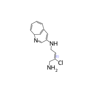 NC/C(Cl)=C\CNC1=CC2=CC(C=CC=C2)N=C1